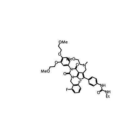 CCNC(=O)Nc1ccc(-c2sc3c(c2CN(C)CCOC)c(=O)n(-c2ccc(OCCOC)c(OCCOC)c2)c(=O)n3Cc2c(F)cccc2F)cc1